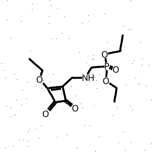 CCOc1c(CNCP(=O)(OCC)OCC)c(=O)c1=O